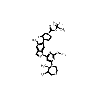 COc1nc(N2CCOCC(C)[C@H]2C)cc(-n2ncc3cc(C)c(C4CCN(C(=O)OC(C)(C)C)CC4F)cc32)n1